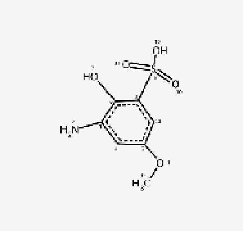 COc1cc(N)c(O)c(S(=O)(=O)O)c1